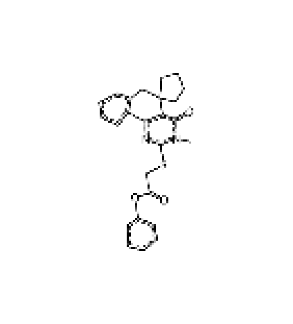 Cn1c(SCC(=O)Oc2ccccc2)nc2c(c1=O)C1(CCCC1)Cc1ccccc1-2